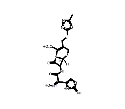 Cc1nnc(SCC2=C(C(=O)O)N3C(=O)C(NC(=O)/C(=N\O)c4csc(=N)[nH]4)[C@H]3SC2)s1